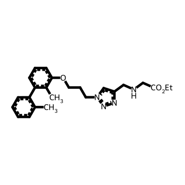 CCOC(=O)CNCc1cn(CCCOc2cccc(-c3ccccc3C)c2C)nn1